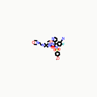 CCOc1ncccc1[C@]1(NC(=O)N2CC3(CN(CCN4CCOCC4)C3)C2)C(=O)N(S(=O)(=O)c2ccc(OC)cc2)c2cc(F)c(C#N)cc21